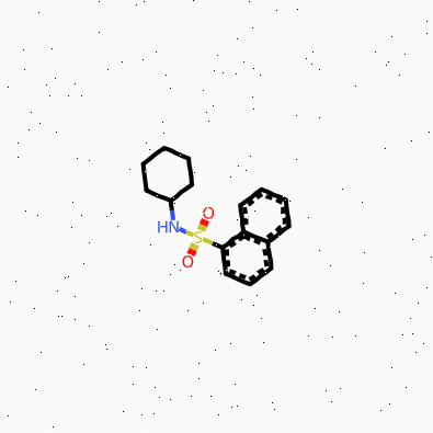 O=S(=O)(NC1CCCCC1)c1[c]ccc2ccccc12